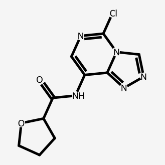 O=C(Nc1cnc(Cl)n2cnnc12)C1CCCO1